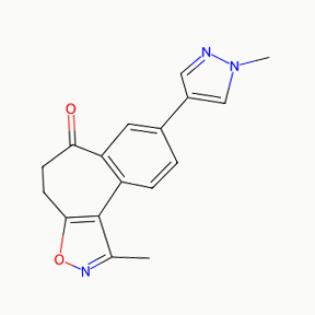 Cc1noc2c1-c1ccc(-c3cnn(C)c3)cc1C(=O)CC2